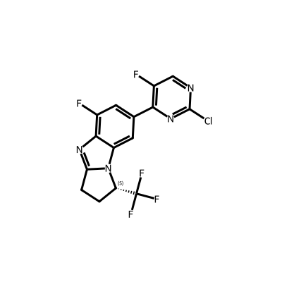 Fc1cnc(Cl)nc1-c1cc(F)c2nc3n(c2c1)[C@H](C(F)(F)F)CC3